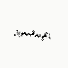 C=C(C)C(=O)OCCOC(=O)CCCCCOP(=O)(O)O